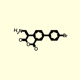 NC=C1C(=O)OC(=O)c2cc(-c3ccc(Br)cc3)ccc21